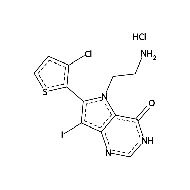 Cl.NCCn1c(-c2sccc2Cl)c(I)c2nc[nH]c(=O)c21